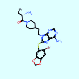 CC(C)C[C@H](N)C(=O)N1CCC(CCn2c(Sc3cc4c(cc3Br)OCO4)nc3c(N)ncnc32)CC1